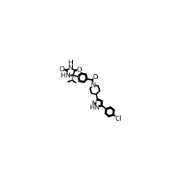 CC(C)[C@]1(c2ccc(C(=O)N3CCC(c4cc(-c5ccc(Cl)cc5)[nH]n4)CC3)cc2)NC(=O)NC1=O